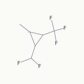 C[C]1C(C(F)F)C1C(F)(F)F